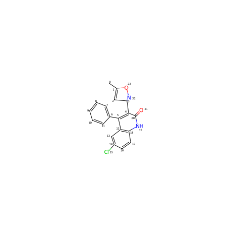 Cc1cc(-c2c(-c3ccccc3)c3cc(Cl)ccc3[nH]c2=O)no1